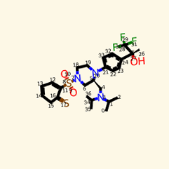 CC(C)N(C[C@H]1CN(S(=O)(=O)C2=CC=CCC2=S)CCN1c1ccc([C@@](C)(O)C(F)(F)F)cc1)C(C)C